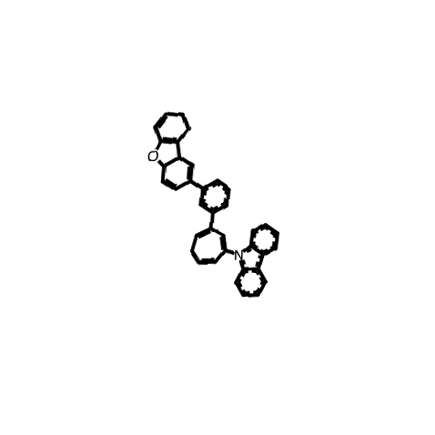 C1=CC(n2c3ccccc3c3ccccc32)=CC(c2cccc(C3=CC4C5=C(C=CCC5)OC4C=C3)c2)=CC1